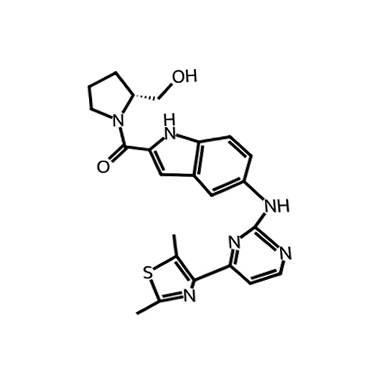 Cc1nc(-c2ccnc(Nc3ccc4[nH]c(C(=O)N5CCC[C@@H]5CO)cc4c3)n2)c(C)s1